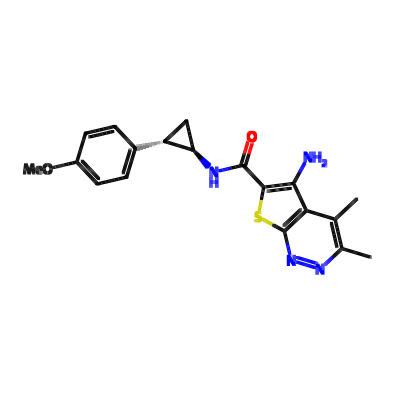 COc1ccc([C@@H]2C[C@H]2NC(=O)c2sc3nnc(C)c(C)c3c2N)cc1